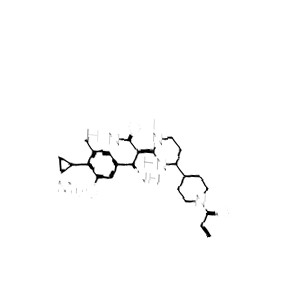 C=CC(=O)N1CCC(C2CCN/C(=C(/C(=N)c3cc(C)c(C4CC4)c(OC)c3)C(N)=O)N2)CC1